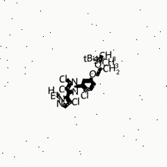 [CH2][C@H](COc1ccc(Cl)c(-c2nc(Cl)c(C)c(-c3c(Cl)cnn3CC)n2)c1)O[Si](C)(C)C(C)(C)C